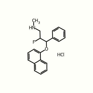 CNCC(F)C(Oc1cccc2ccccc12)c1ccccc1.Cl